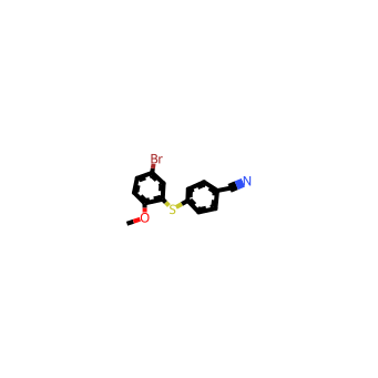 COc1ccc(Br)cc1Sc1ccc(C#N)cc1